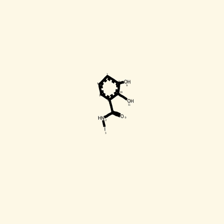 O=C(NI)c1cccc(O)c1O